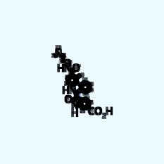 Cc1cc(N/C(=C2\C(=O)Nc3cc(C(=O)O)ccc32)c2ccccc2)ccc1C(=O)NOCCN(C)C